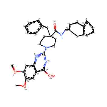 COc1cc2nc(N3CCC(Cc4ccccc4)(C(=O)NC4CCc5ccccc5C4)CC3)nc(O)c2cc1OC